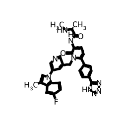 CN[C@@H](C)C(=O)Nc1ccc(-c2ccc(-c3nnn[nH]3)cc2)n(Cc2cncc(-n3cc(C)c4cc(F)ccc43)c2)c1=O